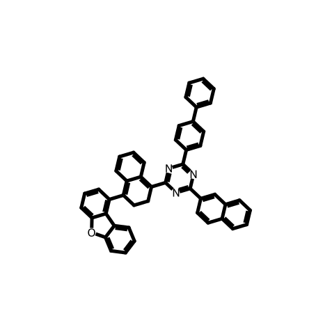 c1ccc(-c2ccc(-c3nc(C4=c5ccccc5=C(c5cccc6oc7ccccc7c56)CC4)nc(-c4ccc5ccccc5c4)n3)cc2)cc1